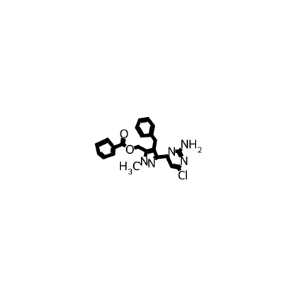 Cn1nc(-c2cc(Cl)nc(N)n2)c(Cc2ccccc2)c1COC(=O)c1ccccc1